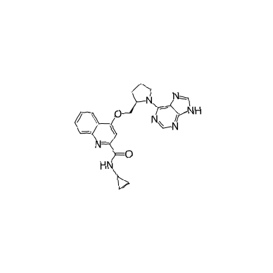 O=C(NC1CC1)c1cc(OC[C@H]2CCCN2c2ncnc3[nH]cnc23)c2ccccc2n1